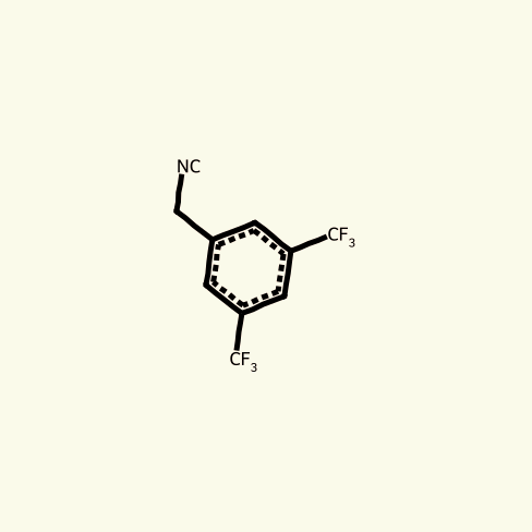 [C-]#[N+]Cc1cc(C(F)(F)F)cc(C(F)(F)F)c1